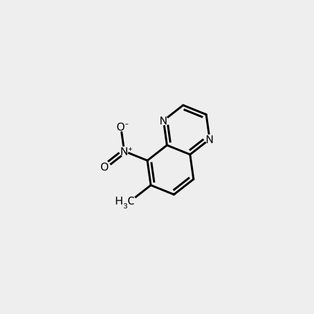 Cc1ccc2nccnc2c1[N+](=O)[O-]